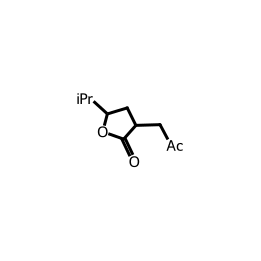 CC(=O)CC1CC(C(C)C)OC1=O